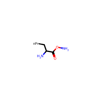 CCCCC(N)C(=O)ON